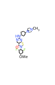 COc1cc(F)c(N2CSc3nc(Nc4ccc(N5CCN(C)CC5)cc4)ncc3C2=O)c(F)c1